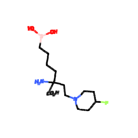 NC(CCCCB(O)O)(CCN1CCC(F)CC1)C(=O)O